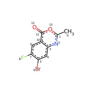 Cc1nc2cc(Br)c(F)cc2c(=O)o1